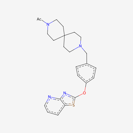 CC(=O)N1CCC2(CCN(Cc3ccc(Oc4nc5ncccc5s4)cc3)CC2)CC1